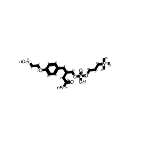 CCCCCCCCCCCCOc1ccc(CC(COP(=O)(O)OCCC[N+](C)(C)C)CC(=O)CCC)cc1